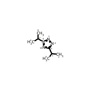 CC(C)c1nnn(C(C)C)n1